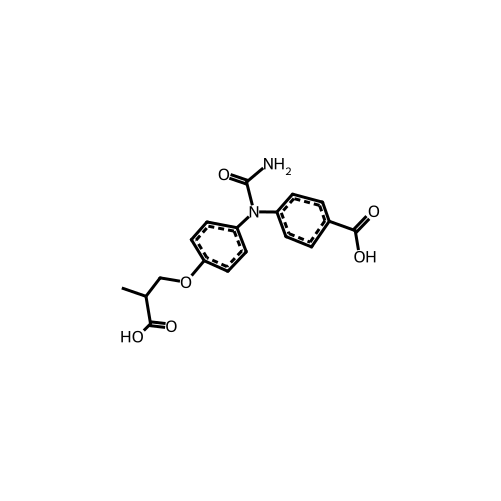 CC(COc1ccc(N(C(N)=O)c2ccc(C(=O)O)cc2)cc1)C(=O)O